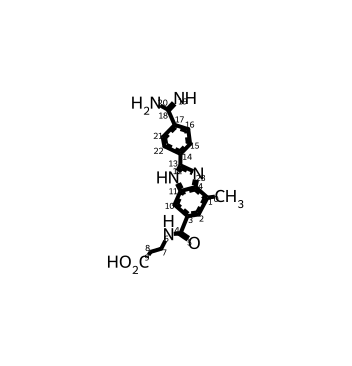 Cc1cc(C(=O)NCCC(=O)O)cc2[nH]c(-c3ccc(C(=N)N)cc3)nc12